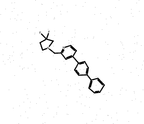 FC1(F)CCN(Cc2cc(-c3ccc(-c4ccccc4)cc3)ccn2)C1